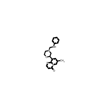 Cc1cc(C2CN(CNc3ccccc3)CCO2)c2nccc(=O)n2c1